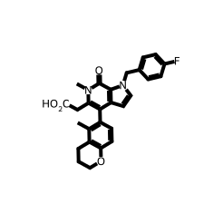 Cc1c(-c2c(CC(=O)O)n(C)c(=O)c3c2ccn3Cc2ccc(F)cc2)ccc2c1CCCO2